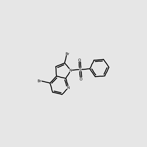 O=S(=O)(c1ccccc1)n1c(Br)cc2c(Br)ccnc21